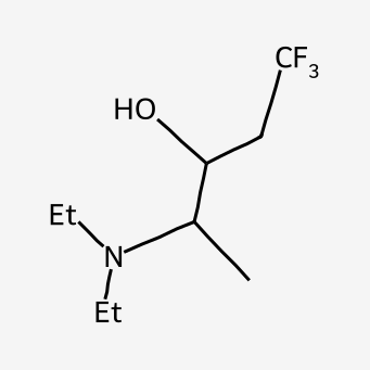 CCN(CC)C(C)C(O)CC(F)(F)F